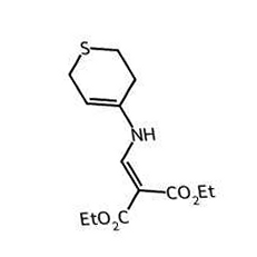 CCOC(=O)C(=CNC1=CCSCC1)C(=O)OCC